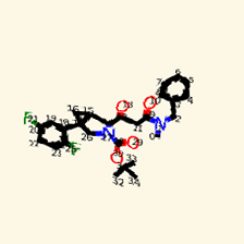 CN(Cc1ccccc1)C(=O)CC(=O)C1C2CC2(c2cc(F)ccc2F)CN1C(=O)OC(C)(C)C